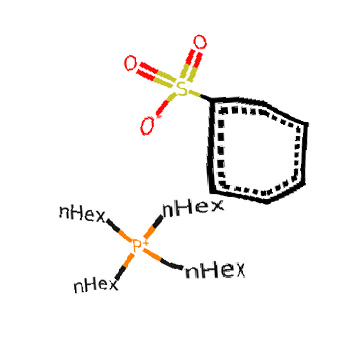 CCCCCC[P+](CCCCCC)(CCCCCC)CCCCCC.O=S(=O)([O-])c1ccccc1